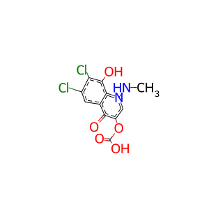 CNn1cc(OC(=O)O)c(=O)c2cc(Cl)c(Cl)c(O)c21